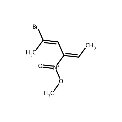 C/C=C(\C=C(/C)Br)[N+](=O)OC